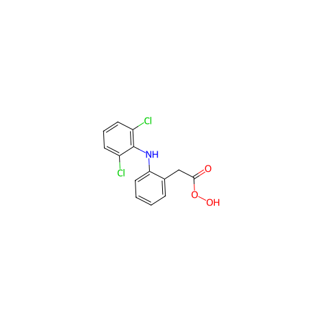 O=C(Cc1ccccc1Nc1c(Cl)cccc1Cl)OO